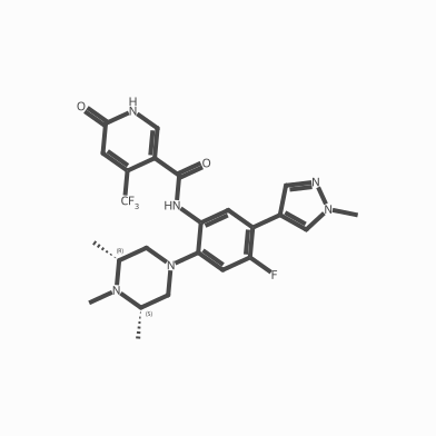 C[C@@H]1CN(c2cc(F)c(-c3cnn(C)c3)cc2NC(=O)c2c[nH]c(=O)cc2C(F)(F)F)C[C@H](C)N1C